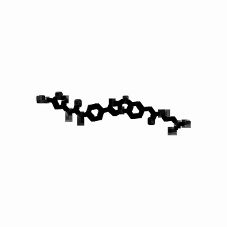 CCN(CC)CCNC(=O)Cc1ccc2c(c1)sc1nc(-c3ccc(NC(=O)Nc4cc(C(C)(C)C)on4)cc3)cn12